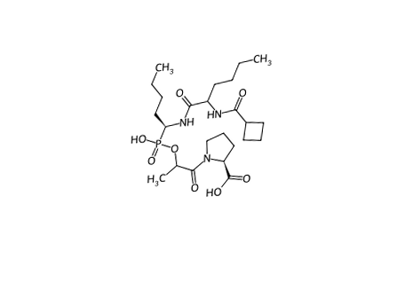 CCCCC(NC(=O)C1CCC1)C(=O)N[C@H](CCCC)P(=O)(O)OC(C)C(=O)N1CCC[C@H]1C(=O)O